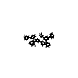 C1=CC(c2ccc3c(c2)c2ccccc2n3-c2cccc(-c3ccccc3)c2)Cc2c1c1ccccc1n2C1C=C(c2ccccc2)C=C(c2ccncc2)C1